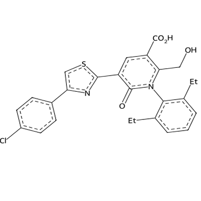 CCc1cccc(CC)c1-n1c(CO)c(C(=O)O)cc(-c2nc(-c3ccc(Cl)cc3)cs2)c1=O